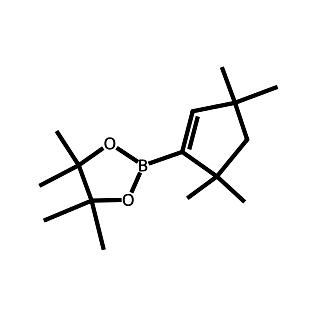 CC1(C)C=C(B2OC(C)(C)C(C)(C)O2)C(C)(C)C1